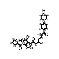 CC(CCNC(=O)c1ccc(N2CCNCC2)cc1)CC(=O)N1CCC2C1C(=O)CN2C(=O)C1CCCN1